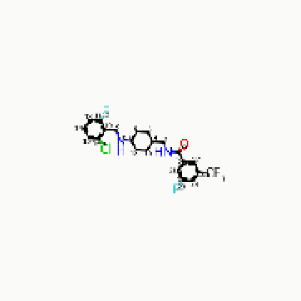 O=C(NCC1CCC(NCc2c(F)cccc2Cl)CC1)c1cc(F)cc(C(F)(F)F)c1